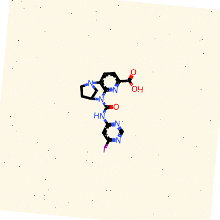 O=C(O)c1ccc2c(n1)N(C(=O)Nc1cc(I)ncn1)C1CCN2C1